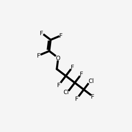 FC(F)=C(F)OCC(F)(F)C(F)(Cl)C(F)(F)Cl